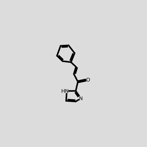 O=C(/C=C/c1ccccc1)c1ncc[nH]1